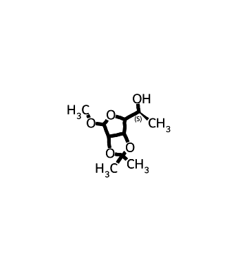 COC1OC([C@H](C)O)C2OC(C)(C)OC12